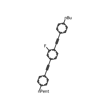 CCCCCc1ccc(C#Cc2ccc(C#Cc3ccc(CCCC)cc3)c(F)c2)cc1